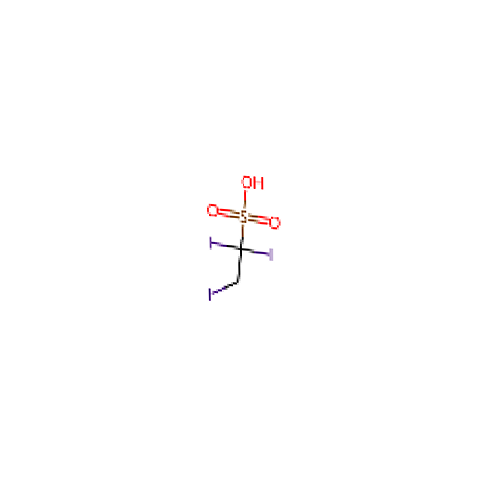 O=S(=O)(O)C(I)(I)CI